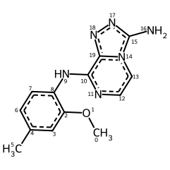 COc1cc(C)ccc1Nc1nccn2c(N)nnc12